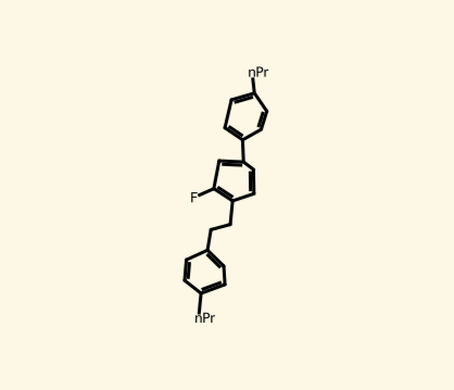 CCCc1ccc(CCc2ccc(-c3ccc(CCC)cc3)cc2F)cc1